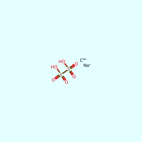 O=S(=O)(O)S(=O)(=O)O.[C+4].[Na+]